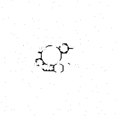 COC[C@@H]1COc2cn3ncc4c3nc2N1Cc1cc(F)cnc1O[C@@H](C)NC4=O